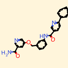 NC(=O)c1cncc(OCc2cccc(NC(=O)c3ccc(-c4ccccc4)nc3)c2)c1